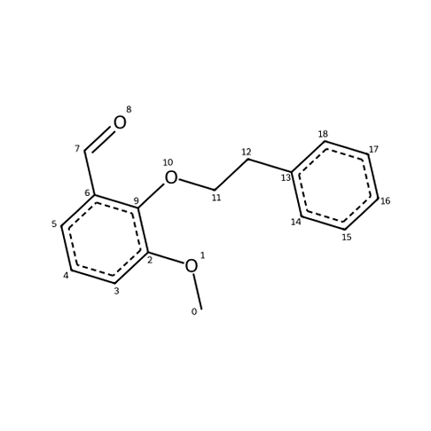 COc1cccc(C=O)c1OCCc1ccccc1